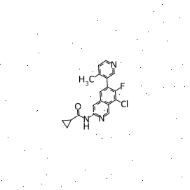 Cc1ccncc1-c1cc2cc(NC(=O)C3CC3)ncc2c(Cl)c1F